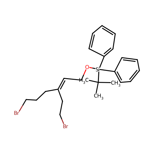 CC(C)(C)[Si](OCC=C(CCBr)CCCBr)(c1ccccc1)c1ccccc1